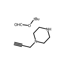 C#CCN1CCNCC1.CC(C)(C)OC=O